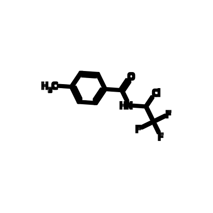 Cc1ccc(C(=O)NC(Cl)C(F)(F)F)cc1